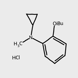 CC(C)COc1ccccc1N(C)C1CC1.Cl